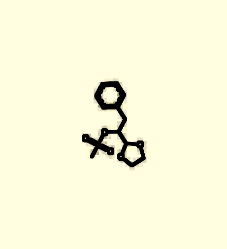 CS(=O)(=O)OC(Cc1ccccc1)C1OCCO1